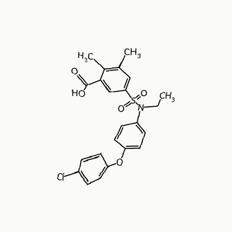 CCN(c1ccc(Oc2ccc(Cl)cc2)cc1)S(=O)(=O)c1cc(C)c(C)c(C(=O)O)c1